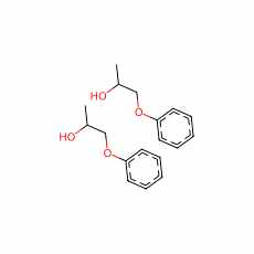 CC(O)COc1ccccc1.CC(O)COc1ccccc1